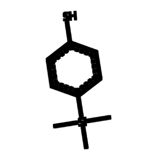 C[Si](C)(C)c1ccc(S)cc1